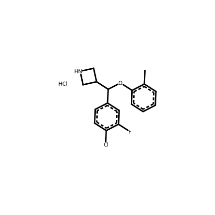 Cc1ccccc1OC(c1ccc(Cl)c(F)c1)C1CNC1.Cl